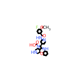 COc1cc(C(=O)Nc2cc(-c3c(Nc4ccccc4)c4c(n3C(=O)O)CNCC4=O)ccn2)ccc1F